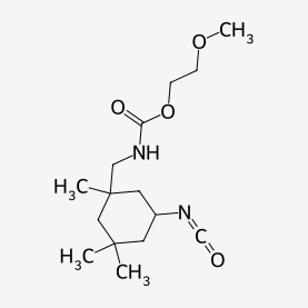 COCCOC(=O)NCC1(C)CC(N=C=O)CC(C)(C)C1